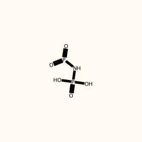 O=P(=O)NP(=O)(O)O